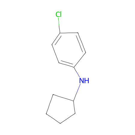 Clc1ccc(NC2CCCC2)cc1